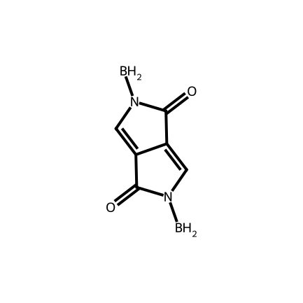 BN1C=C2C(=O)N(B)C=C2C1=O